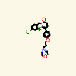 O=c1ccc(-c2ccc(OCCCN3CCOCC3)cc2)cn1Cc1ccc(Cl)cc1F